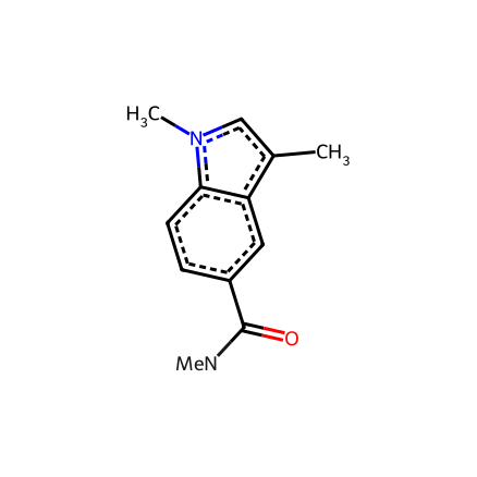 CNC(=O)c1ccc2c(c1)c(C)cn2C